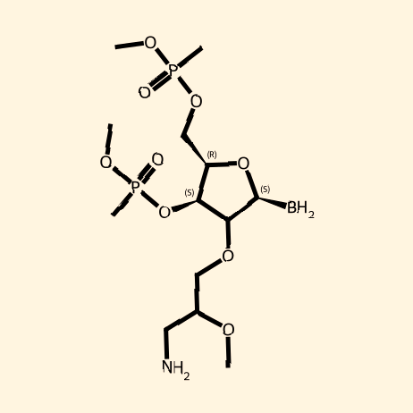 B[C@@H]1O[C@H](COP(C)(=O)OC)[C@H](OP(C)(=O)OC)C1OCC(CN)OC